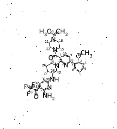 COc1ccccc1-c1ccc(C(=O)N2CCN(C(C)C)CC2)c(N2CCCC(Nc3ccc(C(=O)C(F)(F)F)c(N)n3)C2)n1